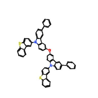 c1ccc(-c2ccc3c(c2)c2cc(Oc4ccc5c(c4)c4cc(-c6ccccc6)ccc4n5-c4ccc5sc6ccccc6c5c4)ccc2n3-c2ccc3sc4ccccc4c3c2)cc1